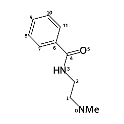 CNCCNC(=O)c1ccccc1